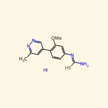 COc1cc(N=C(N)S)ccc1-c1cnnc(C)c1.I